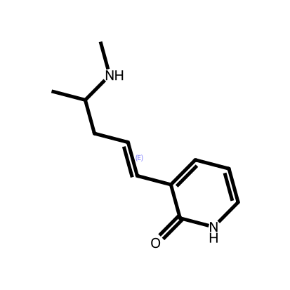 CNC(C)C/C=C/c1ccc[nH]c1=O